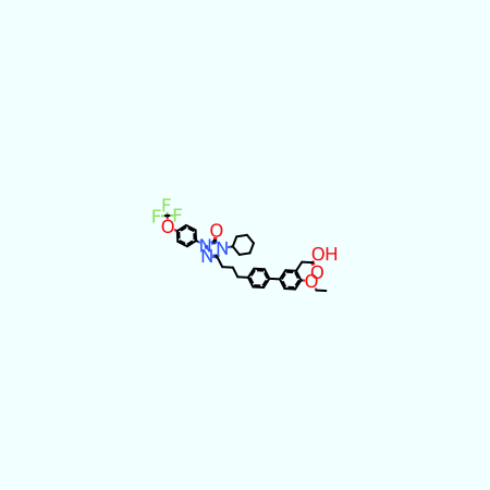 CCOc1ccc(-c2ccc(CCCc3nn(-c4ccc(OC(F)(F)F)cc4)c(=O)n3C3CCCCC3)cc2)cc1CC(=O)O